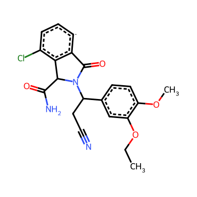 CCOc1cc(C(CC#N)N2C(=O)c3[c]ccc(Cl)c3C2C(N)=O)ccc1OC